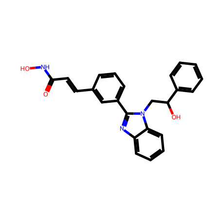 O=C(C=Cc1cccc(-c2nc3ccccc3n2CC(O)c2ccccc2)c1)NO